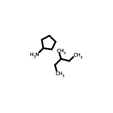 CCC(C)CC.NC1CCCC1